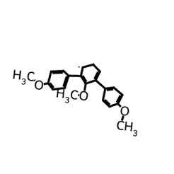 COC1=C(c2ccc(OC)cc2)[CH]CC=C1c1ccc(OC)cc1